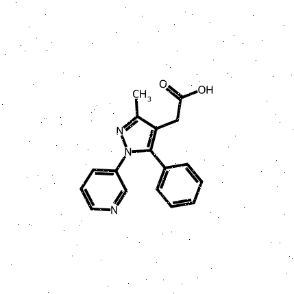 Cc1nn(-c2cccnc2)c(-c2ccccc2)c1CC(=O)O